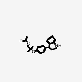 CC(=O)OCC(C)(C)Oc1ccc(C2CCNc3ccccc32)cc1